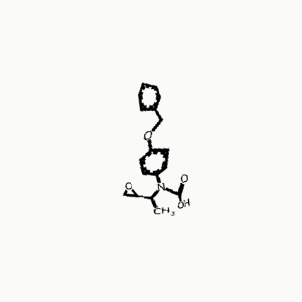 CC([C@H]1CO1)N(C(=O)O)c1ccc(OCc2ccccc2)cc1